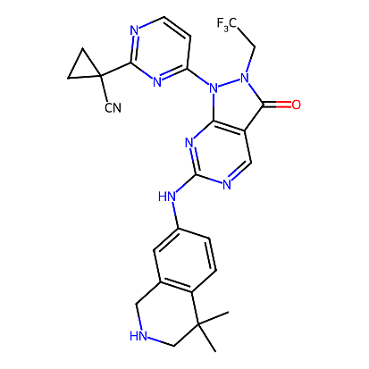 CC1(C)CNCc2cc(Nc3ncc4c(=O)n(CC(F)(F)F)n(-c5ccnc(C6(C#N)CC6)n5)c4n3)ccc21